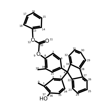 Cc1cc(C2(c3ccc(OC(=O)Oc4ccccc4)c(C)c3)c3ccccc3-c3ccccc32)ccc1O